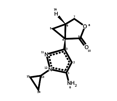 Nc1cc([C@@]23C[C@@H]2COC3=O)nn1C1CC1